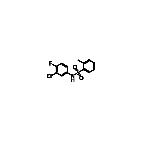 Cc1ccccc1S(=O)(=O)Nc1ccc(F)c(Cl)c1